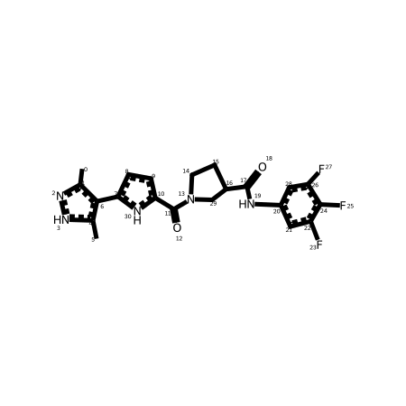 Cc1n[nH]c(C)c1-c1ccc(C(=O)N2CCC(C(=O)Nc3cc(F)c(F)c(F)c3)C2)[nH]1